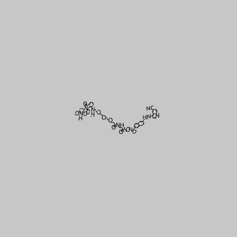 N#Cc1ccc2nccc(NCCc3ccc4cc(C(=O)N5CCN(C(=O)CCNC(=O)CCOCCOCCOCCNc6cccc7c6C(=O)N(C6CCC(=O)NC6=O)C7=O)CC5)ccc4c3)c2c1